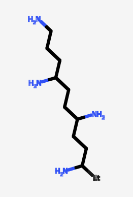 CCC(N)CCC(N)CCC(N)CCCN